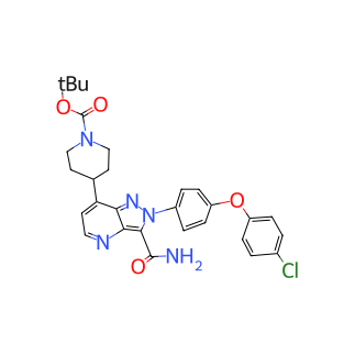 CC(C)(C)OC(=O)N1CCC(c2ccnc3c(C(N)=O)n(-c4ccc(Oc5ccc(Cl)cc5)cc4)nc23)CC1